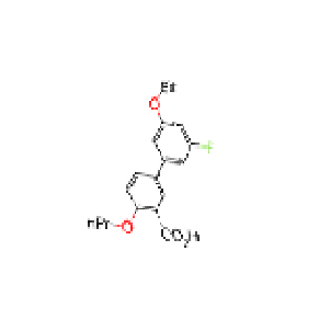 CCCOc1ccc(-c2cc(F)cc(OCC)c2)cc1C(=O)O